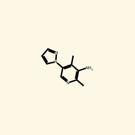 Cc1ncc(-n2cccn2)c(C)c1N